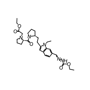 CCOC(=O)CN1CCC[C@@H]1C(=O)N1CCC[C@H]1CCc1cc2ccc(C=NNC(=O)OCC)cc2n1CC